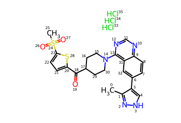 Cc1n[nH]cc1-c1ccc2ncnc(N3CCC(C(=O)c4ccc(S(C)(=O)=O)s4)CC3)c2c1.Cl.Cl.Cl